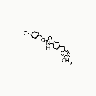 Cc1nnc(Cc2ccc(NC(=O)OCc3ccc(Cl)cc3)cc2)o1